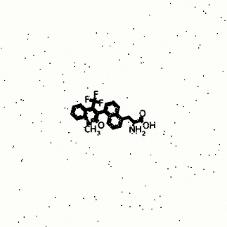 Cn1c(=O)c(-c2cccc3c(C[C@H](N)C(=O)O)cccc23)c(C(F)(F)F)c2ccccc21